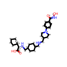 O=C(NO)c1ccc(N2CCC(CNCC3CCC(CN[C@H](C(=O)O)C4CCCCC4)CC3)CC2)cc1